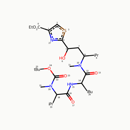 CCOC(=O)c1csc(C(O)CC(C(C)C)N(C)C(=O)C(NC(=O)C(C(C)C)N(C)C(=O)OC(C)(C)C)C(C)CC)n1